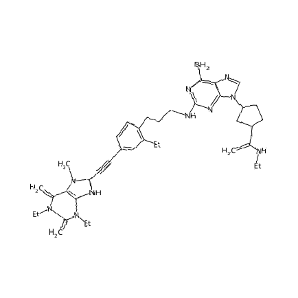 Bc1nc(NCCCc2ccc(C#CC3NC4=C(C(=C)N(CC)C(=C)N4CC)N3C)cc2CC)nc2c1ncn2C1CCC(C(=C)NCC)C1